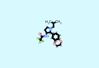 CC(C)CN1CCC(NC(=O)C(F)(F)F)C1c1ccc2c(c1)OCCO2